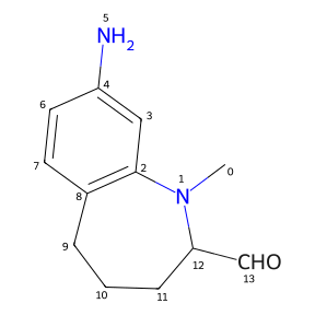 CN1c2cc(N)ccc2CCCC1C=O